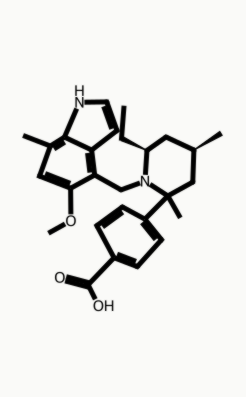 CC[C@H]1C[C@@H](C)CC(C)(c2ccc(C(=O)O)cc2)N1Cc1c(OC)cc(C)c2[nH]ccc12